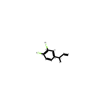 [CH2]C(C=C)c1ccc(F)c(F)c1